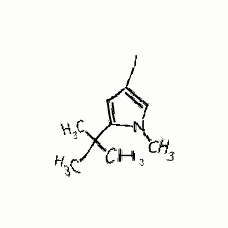 Cn1cc(I)cc1C(C)(C)C